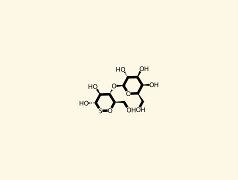 OC[C@H]1O[C@@H](O[C@H]2[C@H](O)[C@@H](O)SO[C@@H]2CO)[C@H](O)[C@@H](O)[C@H]1O